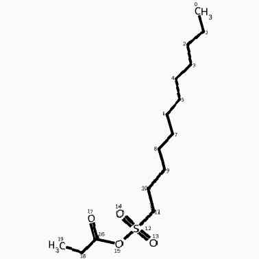 CCCCCCCCCCCCS(=O)(=O)OC(=O)CC